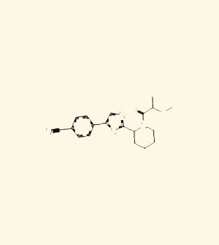 CSC(C)C(=O)N1CCCCC1c1nc(-c2ccc(C#N)cc2)c[nH]1